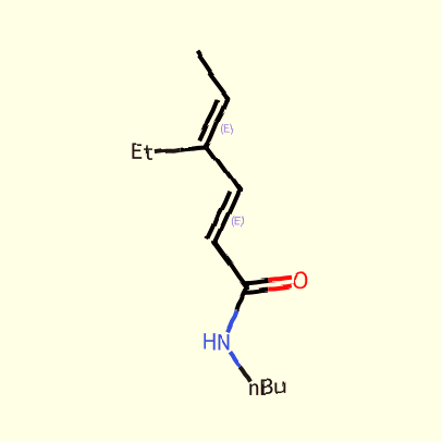 C/C=C(/C=C/C(=O)NCCCC)CC